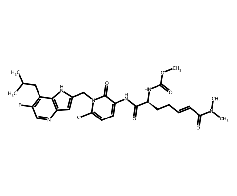 COC(=O)N[C@@H](CC/C=C/C(=O)N(C)C)C(=O)Nc1ccc(Cl)n(Cc2cc3ncc(F)c(CC(C)C)c3[nH]2)c1=O